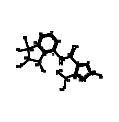 C[C@@H]1c2c(NC(=O)c3cn(C)nc3C(F)F)cccc2C(C)(C)C1F